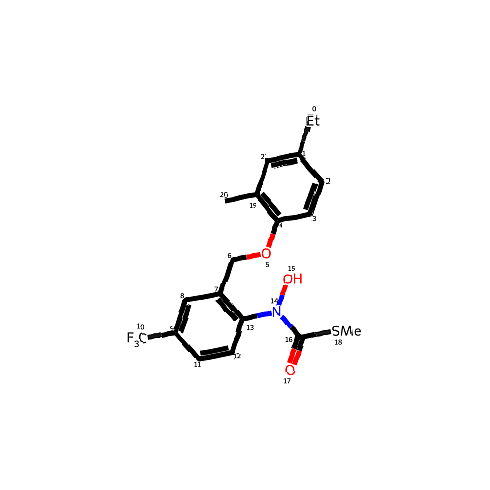 CCc1ccc(OCc2cc(C(F)(F)F)ccc2N(O)C(=O)SC)c(C)c1